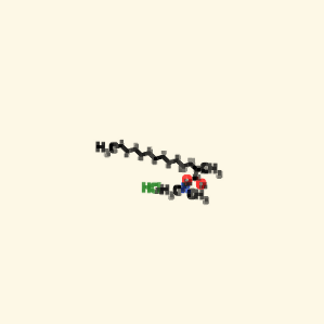 CCCCCCCCCCCCC(C)C(=O)ON(C)C.Cl